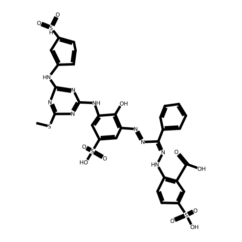 CSc1nc(Nc2cccc([SH](=O)=O)c2)nc(Nc2cc(S(=O)(=O)O)cc(/N=N/C(=N\Nc3ccc(S(=O)(=O)O)cc3C(=O)O)c3ccccc3)c2O)n1